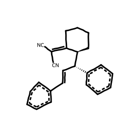 N#CC(C#N)=C1CCCC[C@H]1[C@@H](/C=C/c1ccccc1)c1ccccc1